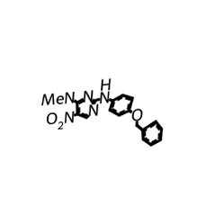 CNc1nc(Nc2ccc(OCc3ccccc3)cc2)ncc1[N+](=O)[O-]